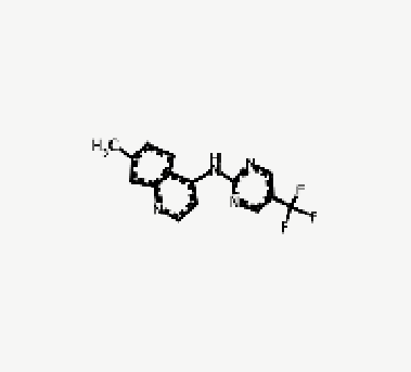 Cc1ccc2c(Nc3ncc(C(F)(F)F)cn3)ccnc2c1